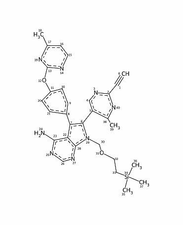 C#Cc1ncc(-c2c(-c3ccc(Oc4nccc(C)n4)cc3)c3c(N)ncnc3n2COCC[Si](C)(C)C)c(C)n1